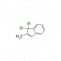 CC1=Cc2ccccc2C1(Br)Br